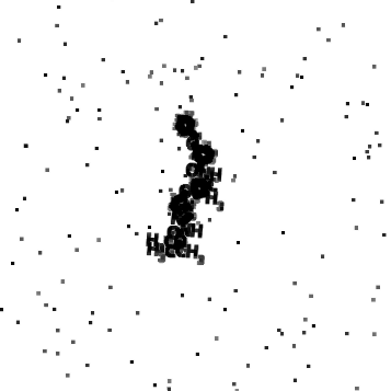 Cc1ccc(Oc2ccc3nc(NC(=O)OC(C)(C)C)cn3n2)cc1NC(=O)c1cccc(OCc2ccccc2)c1